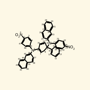 O=[N+]([O-])c1ccc(N(C2=CCC(c3ccccc3)(N(c3ccc([N+](=O)[O-])cc3)c3ccc4ccccc4c3)C=C2)c2ccc3ccccc3c2)cc1